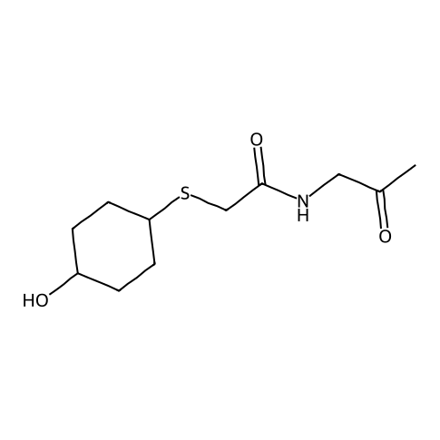 CC(=O)CNC(=O)CSC1CCC(O)CC1